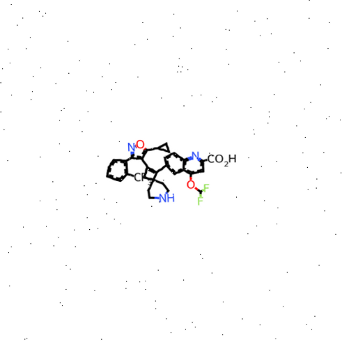 O=C(O)c1cc(OC(F)F)c2cc(C3=C(c4c(-c5ccccc5C(F)(F)F)noc4C4CC4)CC34CCNCC4)ccc2n1